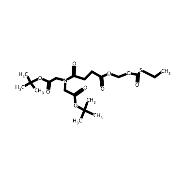 CCSC(=O)OCOC(=O)CCC(=O)N(CC(=O)OC(C)(C)C)CC(=O)OC(C)(C)C